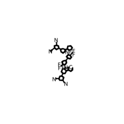 N#Cc1cc(C#N)cc(-c2ccc3c(c2)c2ccccc2n3-c2cc(-c3ccc(C(F)(F)F)c(-n4c5ccccc5c5cc(-c6cc(C#N)cc(C#N)c6)ccc54)c3)ccc2C(F)(F)F)c1